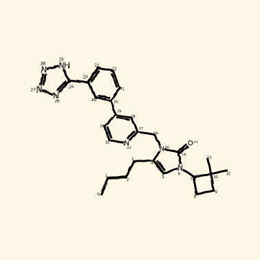 CCCCc1cn(C2CCC2(C)C)c(=O)n1Cc1cc(-c2cccc(-c3nnn[nH]3)c2)ccn1